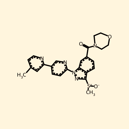 Cc1ccnc(-c2ccc(-n3nc([S+](C)[O-])c4ccc(C(=O)N5CCOCC5)cc43)nc2)c1